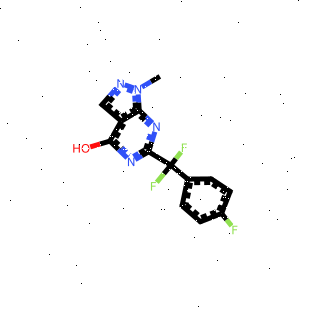 Cn1ncc2c(O)nc(C(F)(F)c3ccc(F)cc3)nc21